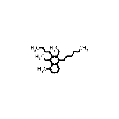 CCCCCCc1c(CC)c(CCCC)c(CC)c2c(C)cccc12